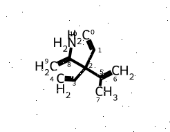 C=CC(C=C)(C(=C)C)C(=C)N